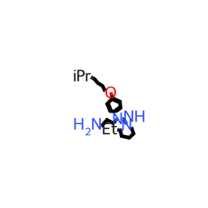 CCC1CCCCN1C(=N)N(CCCN)c1ccc(OCCCCC(C)C)cc1